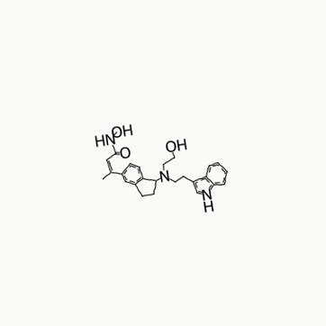 C/C(=C/C(=O)NO)c1ccc2c(c1)CCC2N(CCO)CCc1c[nH]c2ccccc12